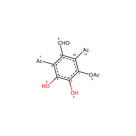 CC(=O)Oc1c(O)c(O)c(C(C)=O)c([C]=O)c1C(C)=O